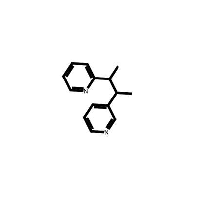 CC(c1cccnc1)C(C)c1ccccn1